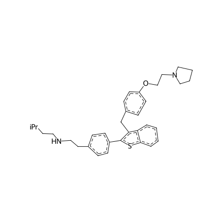 CC(C)CCNCCc1ccc(-c2sc3ccccc3c2Cc2ccc(OCCN3CCCC3)cc2)cc1